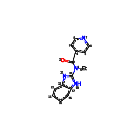 CCN(C(=O)c1ccncc1)c1nc2ccccc2[nH]1